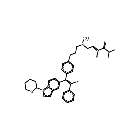 CCC(=C(c1ccc(OCCN(CC=C(F)C(=O)N(C)C)C(=O)O)cc1)c1ccc2c(cnn2C2CCCCO2)c1)c1ccccc1